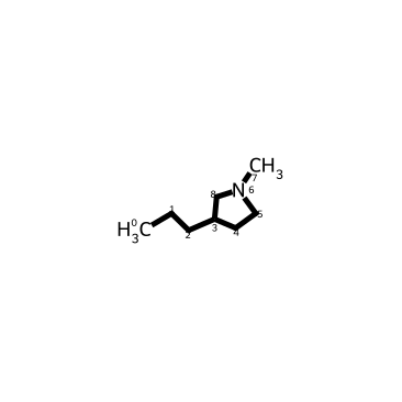 CCCC1CCN(C)C1